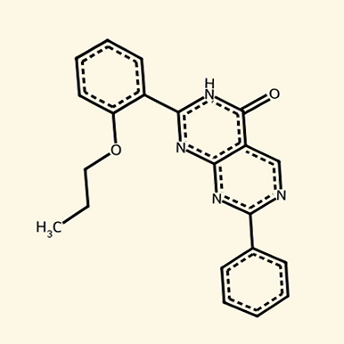 CCCOc1ccccc1-c1nc2nc(-c3ccccc3)ncc2c(=O)[nH]1